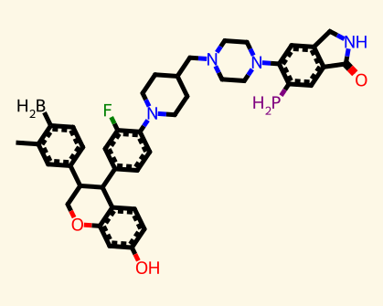 Bc1ccc(C2COc3cc(O)ccc3C2c2ccc(N3CCC(CN4CCN(c5cc6c(cc5P)C(=O)NC6)CC4)CC3)c(F)c2)cc1C